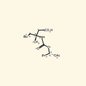 CC[C@H](C)C[C@](C)(CC(=O)O)NC(=O)O[C@H](OC(C)=O)C(C)C